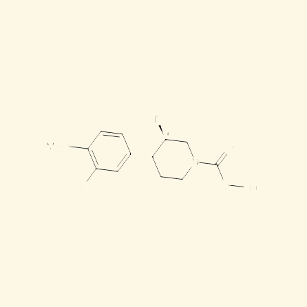 COc1ccc([C@H]2CCN(C(=O)OC(C)(C)C)C[C@@H]2F)cc1F